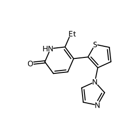 CCc1[nH]c(=O)ccc1-c1sccc1-n1ccnc1